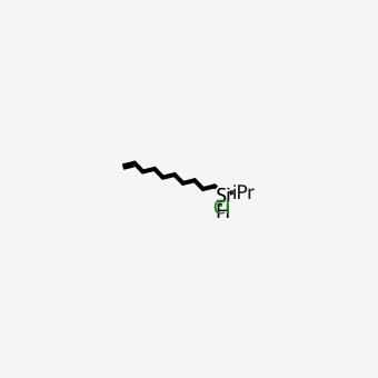 C=CCCCCCCCC[SiH](Cl)C(C)C